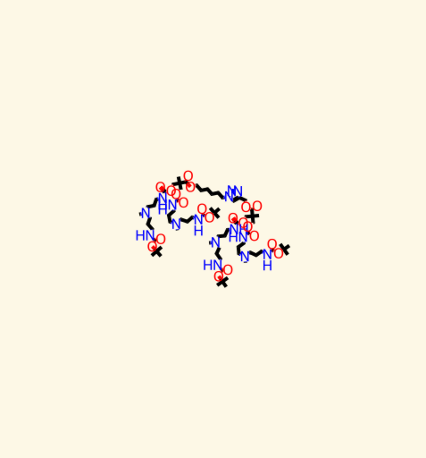 CN(CCCNC(=O)OCC(C)(COC(=O)NCCCN(C)CCCNC(=O)OC(C)(C)C)C(=O)OCCCCCCn1cc(COC(=O)C(C)(COC(=O)NCCCN(C)CCCNC(=O)OC(C)(C)C)COC(=O)NCCCN(C)CCCNC(=O)OC(C)(C)C)nn1)CCCNC(=O)OC(C)(C)C